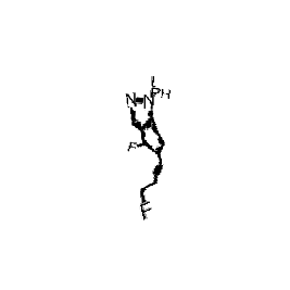 FCCC#Cc1ccc2c(cnn2PI)c1F